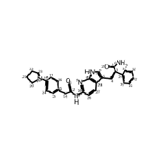 NC(=O)C(=Cc1c[nH]c2nc(NC(=O)Cc3ccc(N4CCCC4)cc3)ccc12)c1ccccc1